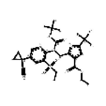 CCOC(=O)c1cc(C(F)(F)F)sc1CN(C(=O)OC(C)(C)C)c1ncc(C2(C#N)CC2)cc1S(=O)(=O)CC